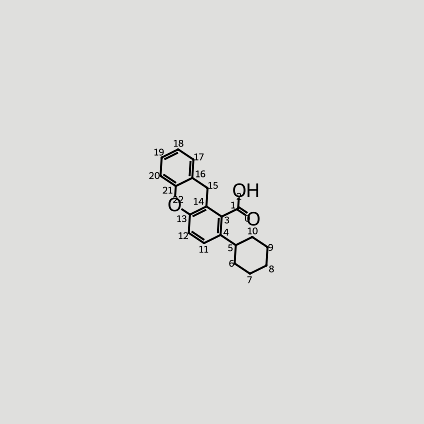 O=C(O)c1c(C2CCCCC2)ccc2c1Cc1ccccc1O2